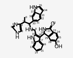 CC(c1c[nH]cn1)C(NCc1[nH]c2ccccc2c1C1NC(=O)c2ccc(O)cc21)c1ccc2cc[nH]c2c1